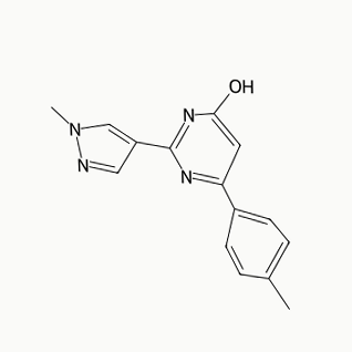 Cc1ccc(-c2cc(O)nc(-c3cnn(C)c3)n2)cc1